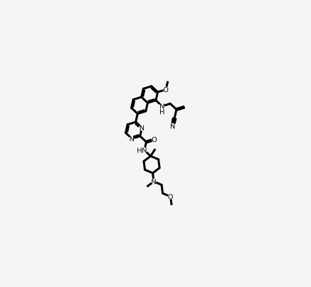 C=C(C#N)CNc1c(OC)ccc2ccc(-c3ccnc(C(=O)NC4(C)CCC(N(C)CCOC)CC4)n3)cc12